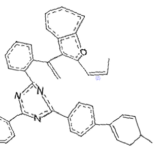 C=C(c1ccccc1-c1nc(-c2ccccc2)nc(-c2ccc(C3=CCC(C)C=C3)cc2)n1)c1c(/C=C\C)oc2ccccc12